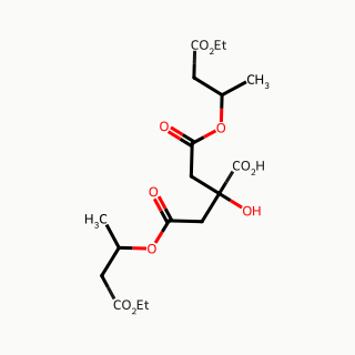 CCOC(=O)CC(C)OC(=O)CC(O)(CC(=O)OC(C)CC(=O)OCC)C(=O)O